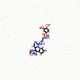 COc1ccc(S(=O)(=O)NCCCNc2nccc(-c3c(-c4ccc(F)cc4)nc4occn34)n2)cc1OC